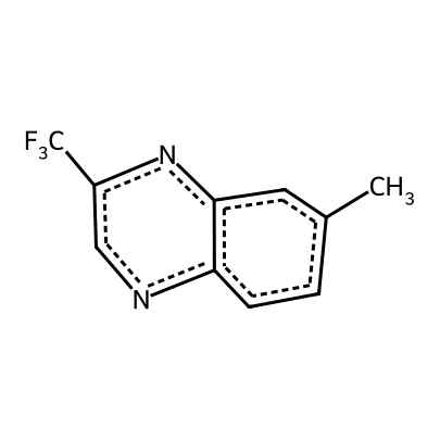 Cc1ccc2ncc(C(F)(F)F)nc2c1